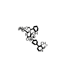 COC[C@@H](c1ccccc1)n1c(COC(C)C)nc(=O)c(S(=O)(=O)c2ccc(-c3ccnc(F)c3C)cc2)c1O